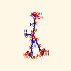 CNC(=O)CCCC(=O)NC(COCCC(=O)CCCCNC(=O)CCCCO[C@@H]1OC(CO)[C@H](O)C(O)[C@@H]1NC(C)=O)(COCCC(=O)NCCCNC(=O)CCCCO[C@@H]1OC(CO)[C@H](O)C(O)[C@@H]1NC(C)=O)COCCC(=O)NCCCNC(=O)CCCCO[C@@H]1OC(CO)[C@H](O)C(O)[C@@H]1NC(C)=O